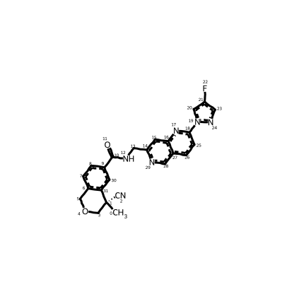 C[C@@]1(C#N)COCc2ccc(C(=O)NCc3cc4nc(-n5cc(F)cn5)ccc4cn3)cc21